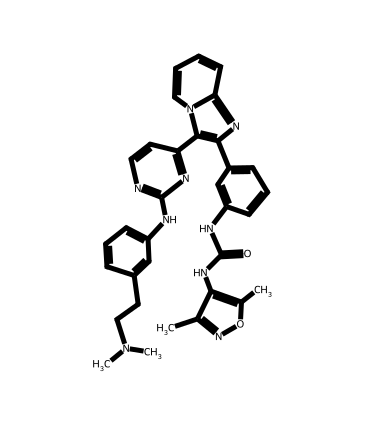 Cc1noc(C)c1NC(=O)Nc1cccc(-c2nc3ccccn3c2-c2ccnc(Nc3cccc(CCN(C)C)c3)n2)c1